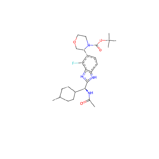 CC(=O)N[C@H](c1nc2c(F)c(C3COCCN3C(=O)OC(C)(C)C)ccc2[nH]1)C1CCC(C)CC1